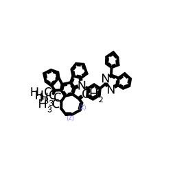 C=C1/C=C\C=C/CC(C)(C)c2c3c(c4c5ccccc5n(-c5cccc(-c6nc(-c7ccccc7)c7ccccc7n6)c5)c4c21)-c1ccccc1C3(C)C